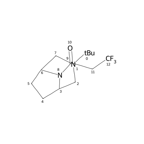 CC(C)(C)N1CC2CCC(C1)N2C(=O)CC(F)(F)F